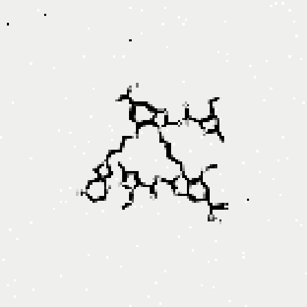 CCc1nc(C)sc1C(=O)Nc1nc2cc(C(N)=O)cc(OCCCN3CC4(CNCCO4)C3)c2n1C/C=C/Cn1c(NC(=O)c2cc(C)nn2CC)nc2cc(C(N)=O)cc(OC)c21